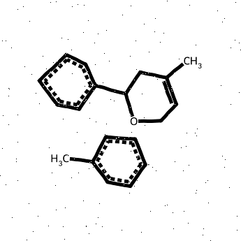 CC1=CCOC(c2ccccc2)C1.Cc1cc[c]cc1